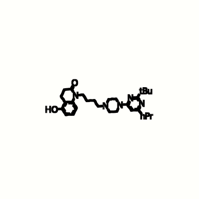 CCCc1cc(N2CCN(CCCCN3C(=O)CCc4c(O)cccc43)CC2)nc(C(C)(C)C)n1